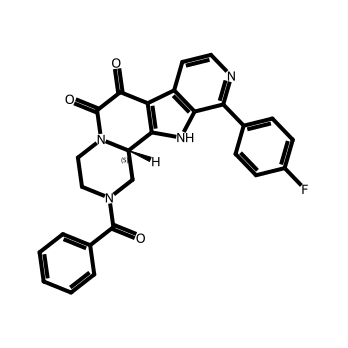 O=C1C(=O)N2CCN(C(=O)c3ccccc3)C[C@H]2c2[nH]c3c(-c4ccc(F)cc4)nccc3c21